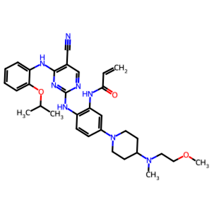 C=CC(=O)Nc1cc(N2CCC(N(C)CCOC)CC2)ccc1Nc1ncc(C#N)c(Nc2ccccc2OC(C)C)n1